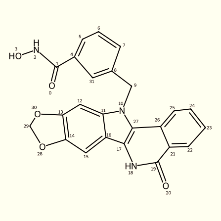 O=C(NO)c1cccc(Cn2c3cc4c(cc3c3[nH]c(=O)c5ccccc5c32)OCO4)c1